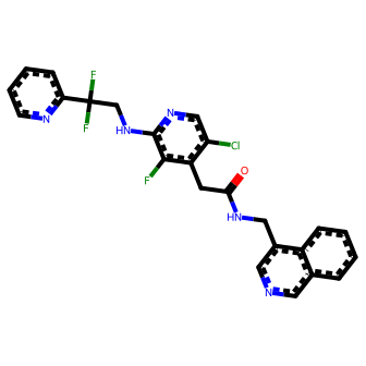 O=C(Cc1c(Cl)cnc(NCC(F)(F)c2ccccn2)c1F)NCc1cncc2ccccc12